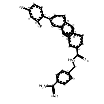 N=C(N)c1ccc(CNC(=O)c2ccc3c(c2)c2oc3c3ccc(-c4ccc(F)cc4F)cc32)cc1